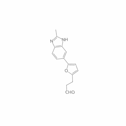 Cc1nc2ccc(-c3ccc(CCC=O)o3)cc2[nH]1